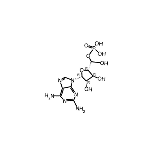 Nc1nc(N)c2ncn([C@@H]3O[C@H](C(O)OP(=O)(O)O)[C@@H](O)[C@@H]3O)c2n1